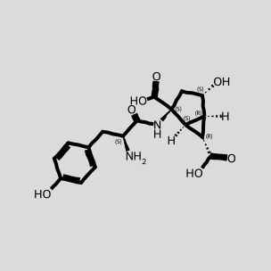 N[C@@H](Cc1ccc(O)cc1)C(=O)N[C@@]1(C(=O)O)C[C@H](O)[C@H]2[C@H](C(=O)O)[C@H]21